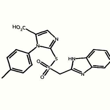 Cc1ccc(-n2c(C(=O)O)cnc2SS(=O)(=O)Cc2nc3ccccc3[nH]2)cc1